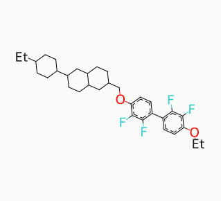 CCOc1ccc(-c2ccc(OCC3CCC4CC(C5CCC(CC)CC5)CCC4C3)c(F)c2F)c(F)c1F